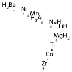 [AlH3].[BaH2].[Co].[LiH].[MgH2].[Mn].[NaH].[Ni].[Ti].[Zr]